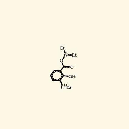 CCCCCCc1cccc(C(=O)ON(CC)CC)c1O